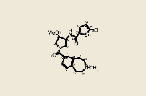 COC1CN(C(=O)c2ccc3c(c2)CCN(C)CC3)CC1NC(=O)c1ccc(Cl)s1